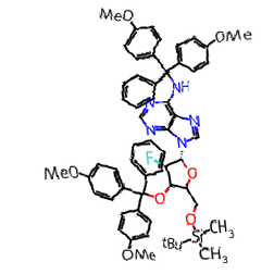 COc1ccc(C(Nc2ncnc3c2ncn3[C@@H]2OC(CO[Si](C)(C)C(C)(C)C)[C@@H](OC(c3ccccc3)(c3ccc(OC)cc3)c3ccc(OC)cc3)[C@H]2F)(c2ccccc2)c2ccc(OC)cc2)cc1